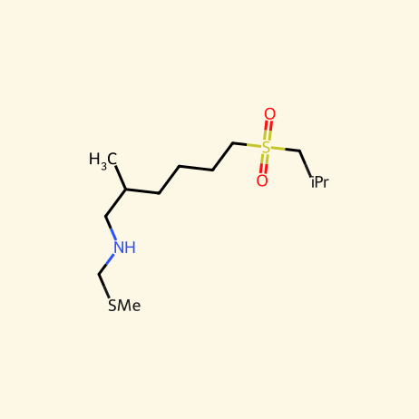 CSCNCC(C)CCCCS(=O)(=O)CC(C)C